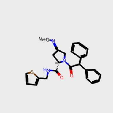 CON=C1C[C@@H](C(=O)NCc2cccs2)N(C(=O)C(c2ccccc2)c2ccccc2)C1